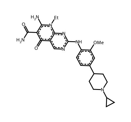 CCn1c(N)c(C(N)=O)c(=O)c2cnc(Nc3ccc(C4CCN(C5CC5)CC4)cc3OC)nc21